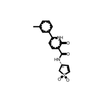 Cc1cccc(-c2ccc(C(=O)N[C@@H]3C=CS(=O)(=O)C3)c(=O)[nH]2)c1